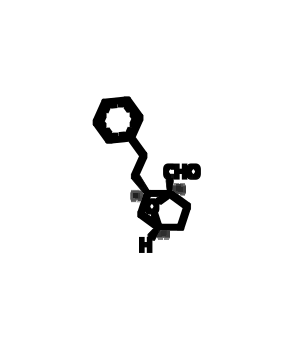 O=C[C@]12CC[C@H](C[C@H]1CCc1ccccc1)O2